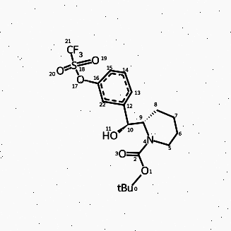 CC(C)(C)OC(=O)N1CCCC[C@H]1[C@@H](O)c1cccc(OS(=O)(=O)C(F)(F)F)c1